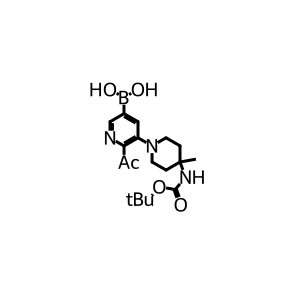 CC(=O)c1ncc(B(O)O)cc1N1CCC(C)(NC(=O)OC(C)(C)C)CC1